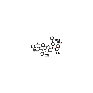 CC(C)(C)c1ccccc1-c1ccc(N(C2=C3C=CC4=C5C(=CC=C(C=C2)C35)C(N(c2cccc(C#N)c2)c2ccc(-c3ccccc3C(C)(C)C)cc2-c2ccccc2C(C)(C)C)C=C4)c2cccc(C#N)c2)c(-c2ccccc2C(C)(C)C)c1